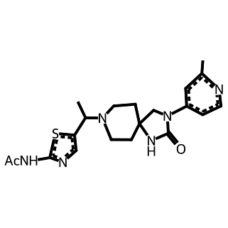 CC(=O)Nc1ncc(C(C)N2CCC3(CC2)CN(c2ccnc(C)c2)C(=O)N3)s1